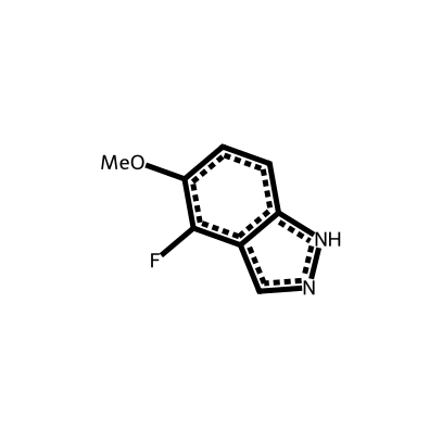 COc1ccc2[nH]ncc2c1F